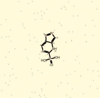 O=P(O)(O)c1ncc2nncc-2[nH]1